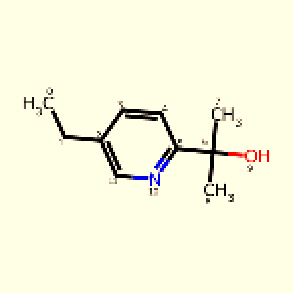 CCc1ccc(C(C)(C)O)nc1